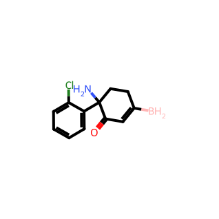 BC1=CC(=O)C(N)(c2ccccc2Cl)CC1